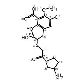 COc1c(Cl)cc2c(c1C(=O)O)OB(O)C(SCC(=O)N1CCC(N)C1)C2